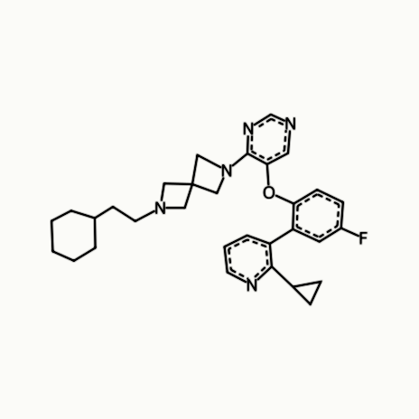 Fc1ccc(Oc2cncnc2N2CC3(CN(CCC4CCCCC4)C3)C2)c(-c2cccnc2C2CC2)c1